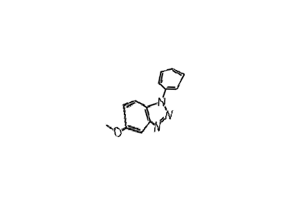 COc1ccc2c(c1)nnn2-c1ccccc1